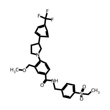 CCS(=O)(=O)c1ccc(CNC(=O)c2ccc(N3CCC(c4ccc(C(F)(F)F)cc4)C3)c(COC)c2)cc1